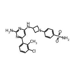 Cc1c(Cl)cccc1-c1cc(NC2CN(c3ccc(S(N)(=O)=O)cc3)C2)nc(N)n1